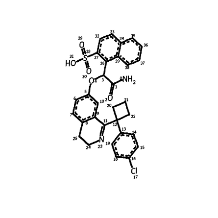 NC(=O)C(Oc1ccc2c(c1)C(C1(c3ccc(Cl)cc3)CCC1)=NCC2)c1c(S(=O)(=O)O)ccc2ccccc12